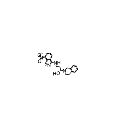 O=[N+]([O-])c1cccc2c(NCC[C@H](O)N3CCc4ccccc4C3)nsc12